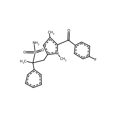 Cc1cc(CC(C)(c2ccccc2)S(N)(=O)=O)n(C)c1C(=O)c1ccc(F)cc1